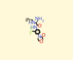 CC(C)CN[C@@H](CN)C(=O)Nc1ccc(N2CCOCC2=O)cc1C(F)F